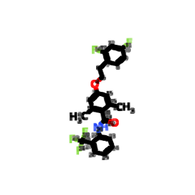 Cc1cc(OCCc2ccc(F)cc2F)cc(C)c1C(=O)Nc1ccccc1C(F)(F)F